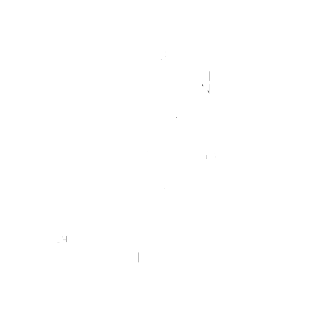 O=CC1(c2ccc(Br)c(F)c2)NCCO1